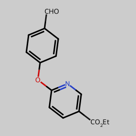 CCOC(=O)c1ccc(Oc2ccc(C=O)cc2)nc1